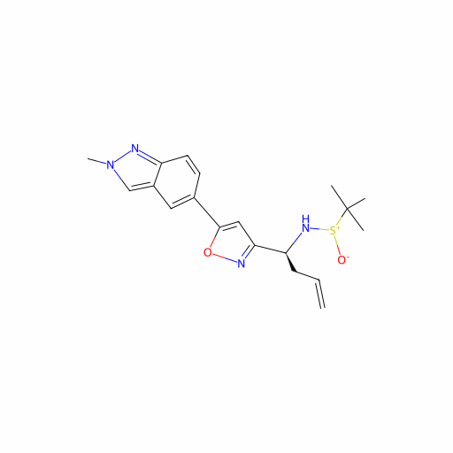 C=CC[C@H](N[S+]([O-])C(C)(C)C)c1cc(-c2ccc3nn(C)cc3c2)on1